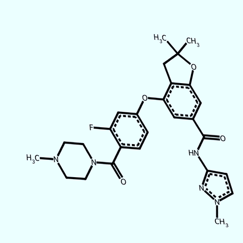 CN1CCN(C(=O)c2ccc(Oc3cc(C(=O)Nc4ccn(C)n4)cc4c3CC(C)(C)O4)cc2F)CC1